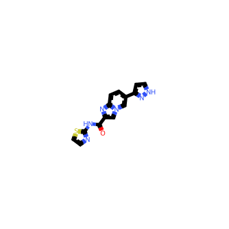 O=C(Nc1nccs1)c1cn2cc(-c3cc[nH]n3)ccc2n1